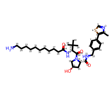 Cc1ncsc1-c1ccc(CNC(=O)[C@@H]2C[C@@H](O)CN2C(=O)[C@H](NC(=O)CCCCCCCCCCN)C(C)(C)C)cc1